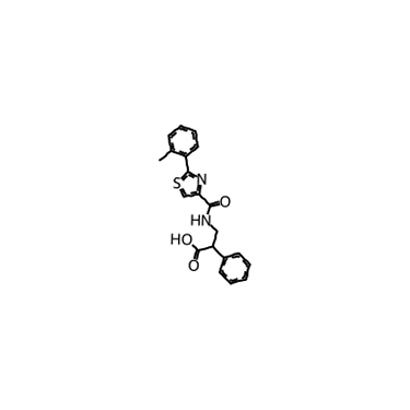 Cc1ccccc1-c1nc(C(=O)NCC(C(=O)O)c2ccccc2)cs1